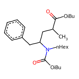 CCCCCCN(C(=O)OCC(C)C)C(Cc1ccccc1)CC(C)C(=O)OCC(C)C